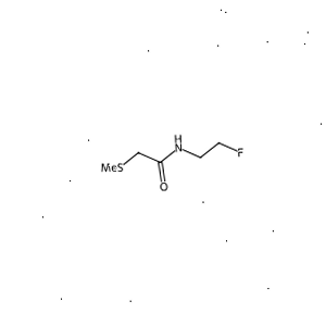 CSCC(=O)NCCF